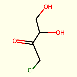 O=C(CCl)C(O)CO